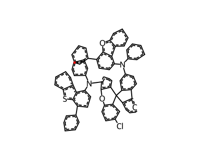 Clc1ccc2c(c1)C1(c3ccccc3-c3ccc(N(c4ccccc4)c4ccc(-c5ccccc5)c5oc6ccccc6c45)cc31)c1cccc(N(c3ccccc3)c3ccc(-c4ccccc4)c4sc5ccccc5c34)c1O2